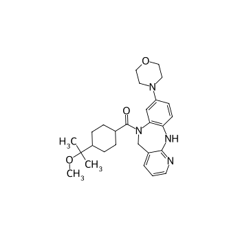 COC(C)(C)C1CCC(C(=O)N2Cc3cccnc3Nc3ccc(N4CCOCC4)cc32)CC1